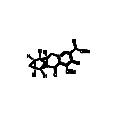 COC(=O)c1cn2c(c(OC)c1=O)C(=O)N1[C@H](C2)[C@@H]2C[C@H]1[C@H]1C[C@@H]21